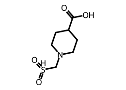 O=C(O)C1CCN(C[SH](=O)=O)CC1